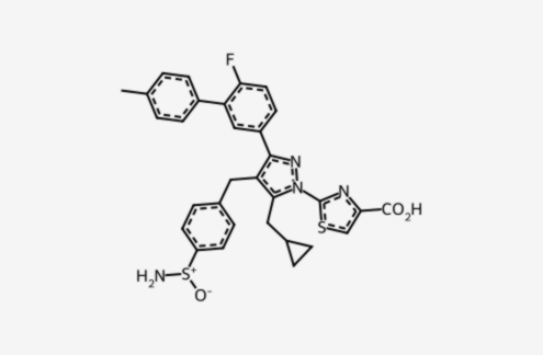 Cc1ccc(-c2cc(-c3nn(-c4nc(C(=O)O)cs4)c(CC4CC4)c3Cc3ccc([S+](N)[O-])cc3)ccc2F)cc1